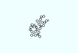 CCc1cc(Oc2ccc(C3(c4ccc(Oc5ccccc5)cc4)c4ccccc4-c4ccc(N(c5ccccc5)c5ccc(-c6ccc(N(c7ccccc7)c7ccc8c(c7)C(c7ccc(Oc9ccccc9)cc7)(c7ccc(Oc9ccc%10c(c9)CC%10)cc7)c7ccccc7-8)cc6)cc5)cc43)cc2)ccc1C